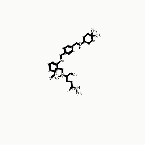 CNC(=O)CCC(C=O)N(C)Cc1c(C=O)cccc1SCc1ccc(CNC2CCC(C)(C)CC2)cc1